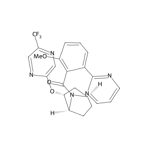 COc1cccc(-c2ncccn2)c1C(=O)N1[C@@H]2CC[C@H]1[C@H](Oc1cnc(C(F)(F)F)cn1)C2